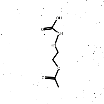 CC(=O)OCCNNC(=O)O